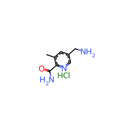 Cc1cc(CN)cnc1C(N)=O.Cl